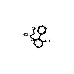 CCCO.Cl.Nc1ccccc1-c1ccccc1